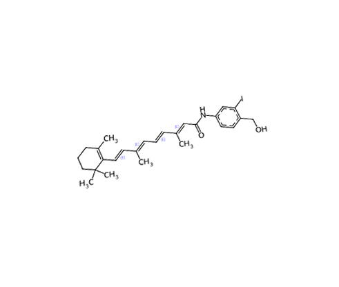 CC1=C(/C=C/C(C)=C/C=C/C(C)=C/C(=O)Nc2ccc(CO)c(I)c2)C(C)(C)CCC1